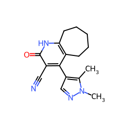 Cc1c(-c2c3c([nH]c(=O)c2C#N)CCCCC3)cnn1C